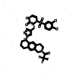 O=C1NC=CN(S(=O)(=O)c2ccc(Cl)c(Cl)c2)[C@@H]1Cc1cn([C@@H]2CCCc3cc4c(cc32)CCN(C(=O)C(F)(F)F)C4)nn1